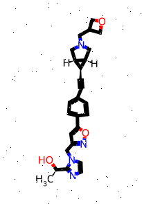 C[C@H](O)c1nccn1Cc1cc(-c2ccc(C#C[C@H]3[C@H]4CN(CC5COC5)C[C@@H]34)cc2)on1